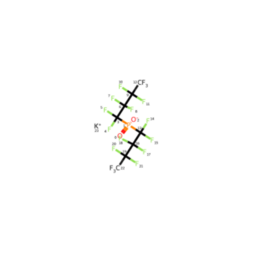 O=P([O-])(C(F)(F)C(F)(F)C(F)(F)C(F)(F)F)C(F)(F)C(F)(F)C(F)(F)C(F)(F)F.[K+]